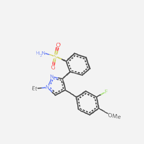 CCn1cc(-c2ccc(OC)c(F)c2)c(-c2ccccc2S(N)(=O)=O)n1